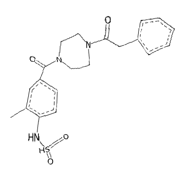 Cc1cc(C(=O)N2CCN(C(=O)Cc3ccccc3)CC2)ccc1N[SH](=O)=O